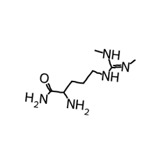 C/N=C(\NC)NCCCC(N)C(N)=O